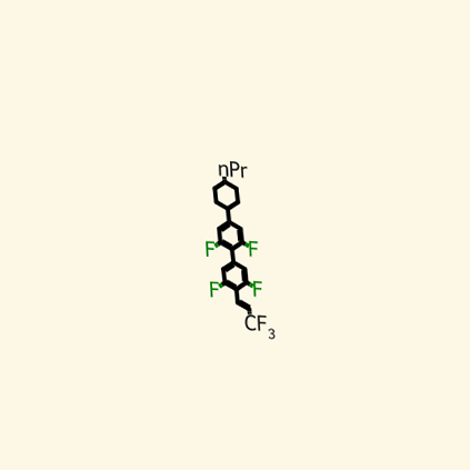 CCCC1CCC(c2cc(F)c(-c3cc(F)c(/C=C/C(F)(F)F)c(F)c3)c(F)c2)CC1